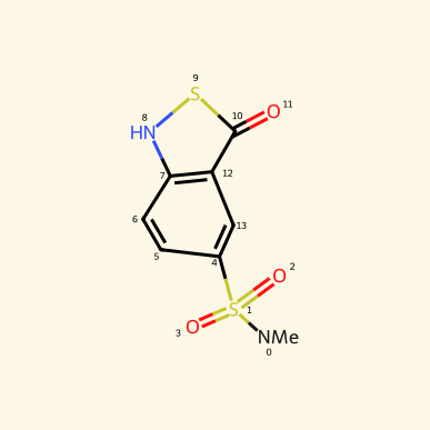 CNS(=O)(=O)c1ccc2[nH]sc(=O)c2c1